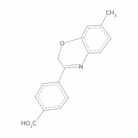 Cc1ccc2c(c1)OCC(c1ccc(C(=O)O)cc1)=N2